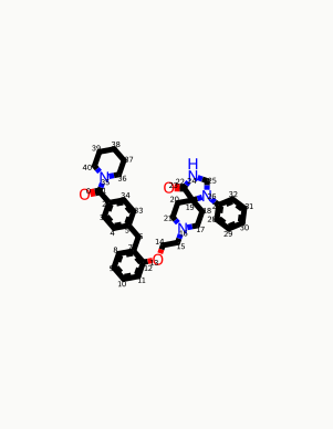 O=C(c1ccc(Cc2ccccc2OCCN2CCC3(CC2)C(=O)NCN3c2ccccc2)cc1)N1CCCCC1